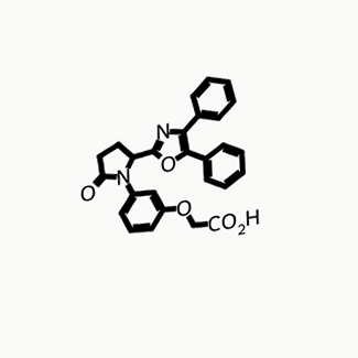 O=C(O)COc1cccc(N2C(=O)CCC2c2nc(-c3ccccc3)c(-c3ccccc3)o2)c1